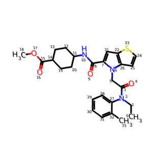 CCN(C(=O)Cn1c(C(=O)NC2CCC(C(=O)OC)CC2)cc2sccc21)c1ccccc1C